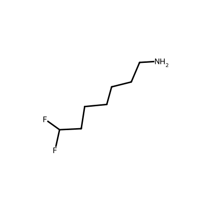 NCCCCCCC(F)F